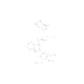 COc1cc(-c2cc(C(=O)NC(Cc3c[nH]c4ccccc34)C(=O)O)c3ccccc3n2)cc(OC)c1OC